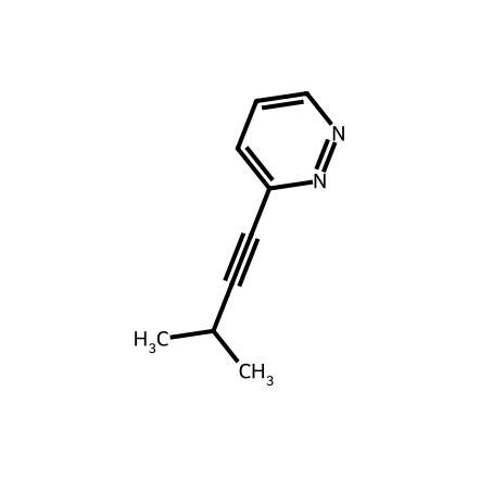 CC(C)C#Cc1cccnn1